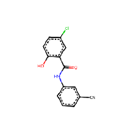 N#Cc1cccc(NC(=O)c2cc(Cl)ccc2O)c1